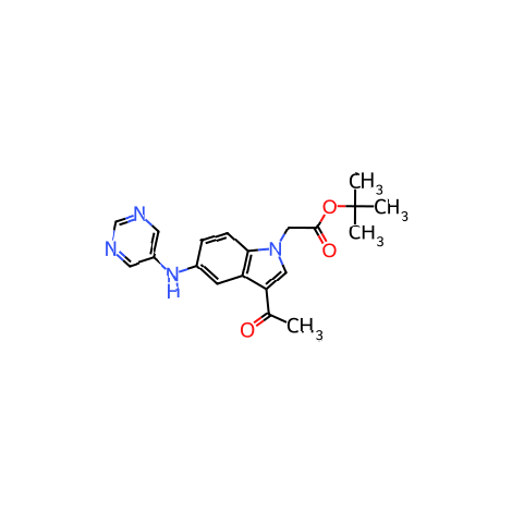 CC(=O)c1cn(CC(=O)OC(C)(C)C)c2ccc(Nc3cncnc3)cc12